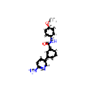 Nc1ccc(-c2cccc(C(=O)Nc3ccc(OC(F)(F)F)cc3)c2)cn1